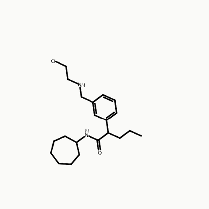 CCCC(C(=O)NC1CCCCCC1)c1cccc(CNCCCl)c1